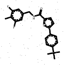 Cc1c(F)cc(CNC(=O)c2ccc(-c3ccc(C(C)(C)C)cc3)s2)cc1F